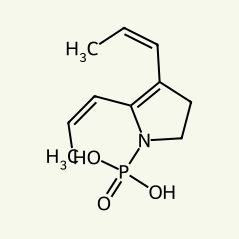 C/C=C\C1=C(/C=C\C)N(P(=O)(O)O)CC1